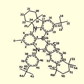 Cc1cc2c3c(c1)N1c4c(cc(C(C)(C)C)cc4C4(C)CCCCC14C)B3c1sc3cc4c(cc3c1N2c1ccc(C(C)(C)C)cc1)C(C)(C)CCC4(C)C